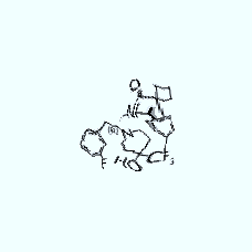 O=C(NC[C@@H](Cc1cccc(F)c1)N1CCC(O)(C(F)(F)F)CC1)C1(c2ccc(I)cc2)CCC1